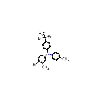 CCc1ccc(N(c2ccc(C)cc2)c2ccc(C(C)(CC)CC)cc2)cc1C